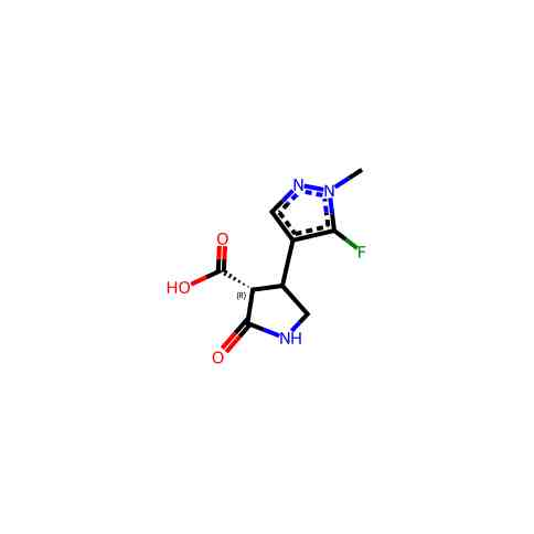 Cn1ncc(C2CNC(=O)[C@@H]2C(=O)O)c1F